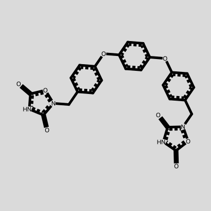 O=c1[nH]c(=O)n(Cc2ccc(Oc3ccc(Oc4ccc(Cn5oc(=O)[nH]c5=O)cc4)cc3)cc2)o1